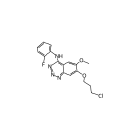 COc1cc2c(Nc3ccccc3F)nnnc2cc1OCCCCl